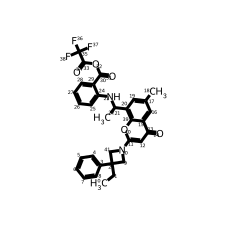 CCC1(c2ccccc2)CN(c2cc(=O)c3cc(C)cc(C(C)Nc4ccccc4C(=O)OC(=O)C(F)(F)F)c3o2)C1